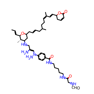 C/C=C/C1OC(C/C=C/CC(C)CC/C=C(C)\C=C\C2CC=CC(=O)O2)CC(NC/C(N)=C/N(N)c2ccc(C(=O)NCCCCCNC(=O)CNC=O)cc2)[C@@H]1C